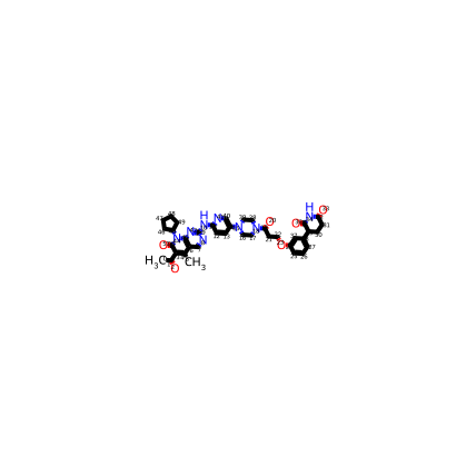 CC(=O)c1c(C)c2cnc(Nc3ccc(N4CCN(C(=O)CCOc5cccc(C6CCC(=O)NC6=O)c5)CC4)cn3)nc2n(C2CCCC2)c1=O